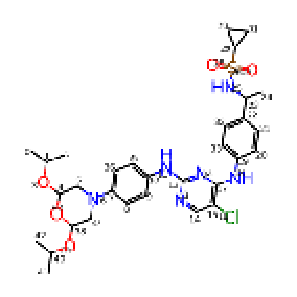 CC(C)OC1CN(c2ccc(Nc3ncc(Cl)c(Nc4ccc(C(C)NS(=O)(=O)C5CC5)cc4)n3)cc2)CC(OC(C)C)O1